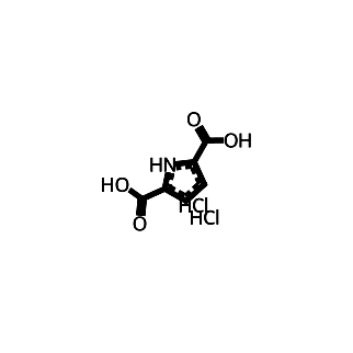 Cl.Cl.O=C(O)c1ccc(C(=O)O)[nH]1